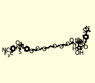 Cc1ncsc1-c1ccc(CNC(=O)[C@@H]2CC(O)CC2C(=O)[C@@H](NC(=O)COCCOCCOCCCCOCCOCCOc2ccc(N3C(=S)N(c4ccc(C#N)c(C(F)(F)F)c4)C(=O)C3(C)C)cc2)C(C)(C)C)cc1